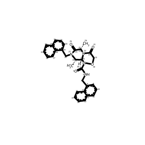 C[C@H]1[C@@H]2N(C(=O)NCc3cccc4ccccc34)OCC(=O)N2[C@@H](C)C(=O)N1Cc1cccc2ccccc12